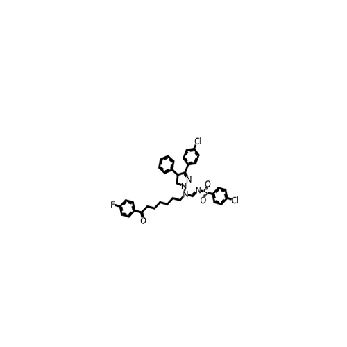 O=C(CCCCCCN(C=NS(=O)(=O)c1ccc(Cl)cc1)N1CC(c2ccccc2)C(c2ccc(Cl)cc2)=N1)c1ccc(F)cc1